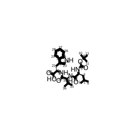 CC(C)C[C@H](NC(=O)OC(C)(C)C)C(=O)N[C@H](C(=O)N[C@@H](Cc1c[nH]c2ccccc12)C(=O)O)C(C)C